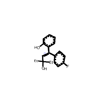 CCC(O)(/C=C(\c1ccc(F)cc1)c1ccccc1O)CC